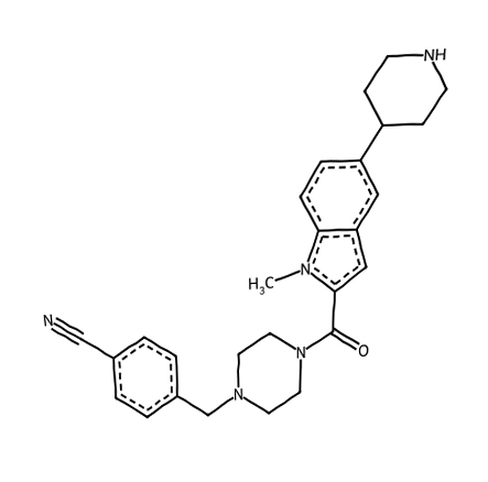 Cn1c(C(=O)N2CCN(Cc3ccc(C#N)cc3)CC2)cc2cc(C3CCNCC3)ccc21